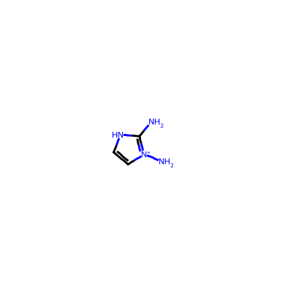 Nc1[nH]cc[n+]1N